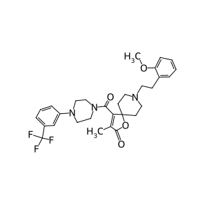 COc1ccccc1CCN1CCC2(CC1)OC(=O)C(C)=C2C(=O)N1CCN(c2cccc(C(F)(F)F)c2)CC1